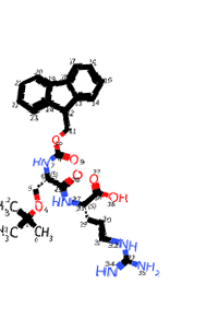 CC(C)(C)OC[C@H](NC(=O)OCC1c2ccccc2-c2ccccc21)C(=O)N[C@@H](CCCNC(=N)N)C(=O)O